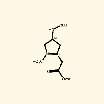 COC(=O)C[C@@H]1C[C@H](NC(C)(C)C)CN1C(=O)O